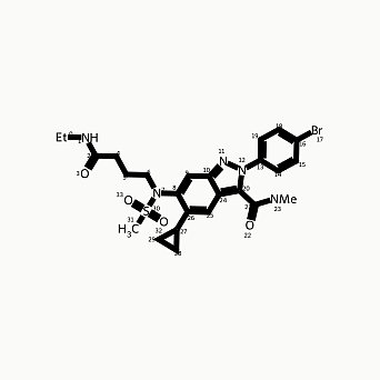 CCNC(=O)CCCN(c1cc2nn(-c3ccc(Br)cc3)c(C(=O)NC)c2cc1C1CC1)S(C)(=O)=O